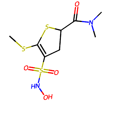 CSC1=C(S(=O)(=O)NO)CC(C(=O)N(C)C)S1